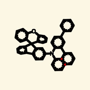 c1ccc(-c2ccc(N(c3ccccc3)c3ccc4c(c3)C3(c5ccccc5Oc5ccccc53)c3ccccc3-4)c(-c3ccccc3)c2)cc1